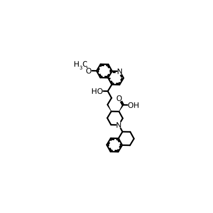 COc1ccc2nccc(C(O)CC[C@@H]3CCN(C4CCCc5ccccc54)C[C@@H]3C(=O)O)c2c1